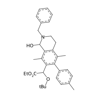 CCOC(=O)C(OC(C)(C)C)c1c(C)c2c(c(C)c1-c1ccc(C)cc1)CCN(Cc1ccccc1)C2O